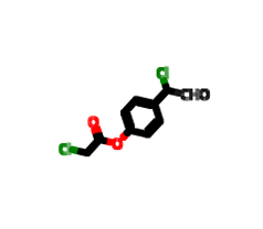 O=CC(Cl)c1ccc(OC(=O)CCl)cc1